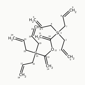 C=CC[Si](CC=C)(CC=C)C(=C)OC(=C)[Si](CC=C)(CC=C)CC=C